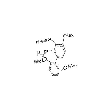 CCCCCCc1ccc(-c2c(OC)cccc2OC)c(P)c1CCCCCC